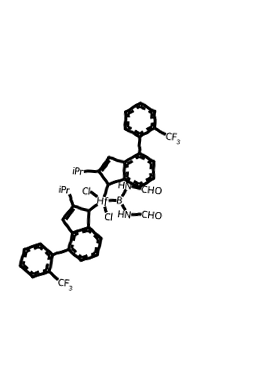 CC(C)C1=Cc2c(-c3ccccc3C(F)(F)F)cccc2[CH]1[Hf]([Cl])([Cl])([B](NC=O)NC=O)[CH]1C(C(C)C)=Cc2c(-c3ccccc3C(F)(F)F)cccc21